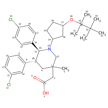 CC1(CC(=O)O)C[C@H](c2cccc(Cl)c2)[C@@H](c2ccc(Cl)cc2)N(C2CCC(O[Si](C)(C)C(C)(C)C)C2)C1